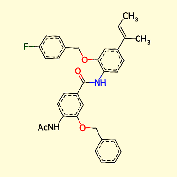 CC=C(C)c1ccc(NC(=O)c2ccc(NC(C)=O)c(OCc3ccccc3)c2)c(OCc2ccc(F)cc2)c1